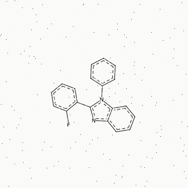 Fc1ccccc1-c1nc2ccccc2n1-c1ccccc1